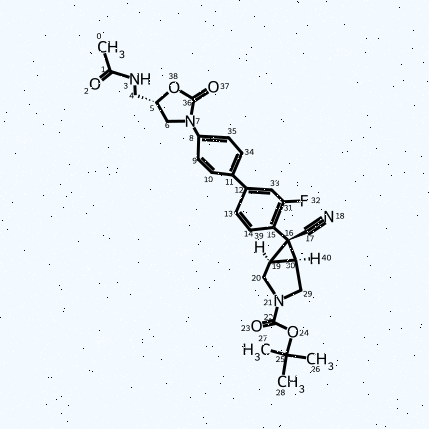 CC(=O)NC[C@H]1CN(c2ccc(-c3ccc([C@@]4(C#N)[C@@H]5CN(C(=O)OC(C)(C)C)C[C@@H]54)c(F)c3)cc2)C(=O)O1